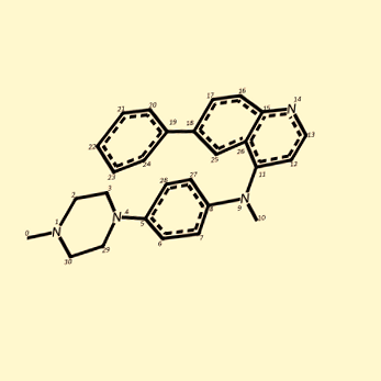 CN1CCN(c2ccc(N(C)c3ccnc4ccc(-c5ccccc5)cc34)cc2)CC1